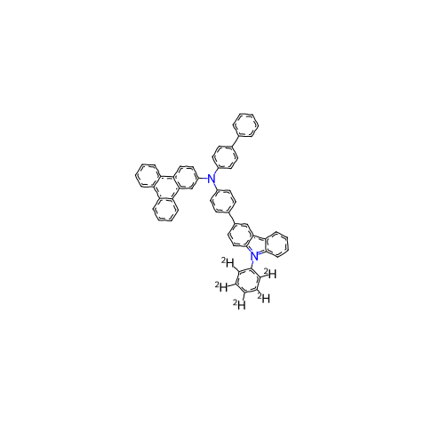 [2H]c1c([2H])c([2H])c(-n2c3ccccc3c3cc(-c4ccc(N(c5ccc(-c6ccccc6)cc5)c5ccc6c7ccccc7c7ccccc7c6c5)cc4)ccc32)c([2H])c1[2H]